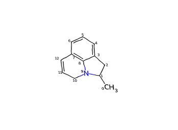 CC1Cc2cccc3c2N1CC=C3